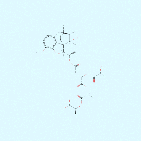 COc1ccc2c3c1O[C@H]1C(OC(=O)C[C@H](OC(=O)[C@H](C)O)C(=O)O[C@@H](C)C(=O)O[C@@H](C)C(=O)O)=CC[C@@]4(O)[C@@H](C2)C(C)CC[C@]314